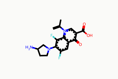 C=C(C)n1cc(C(=O)O)c(=O)c2cc(F)c(N3CCC(N)C3)c(F)c21